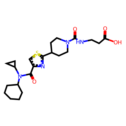 O=C(O)CCNC(=O)N1CCC(c2nc(C(=O)N(C3CCCCC3)C3CC3)cs2)CC1